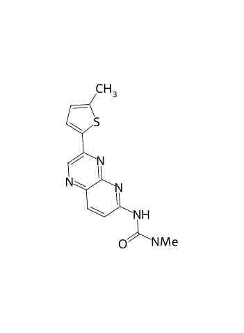 CNC(=O)Nc1ccc2ncc(-c3ccc(C)s3)nc2n1